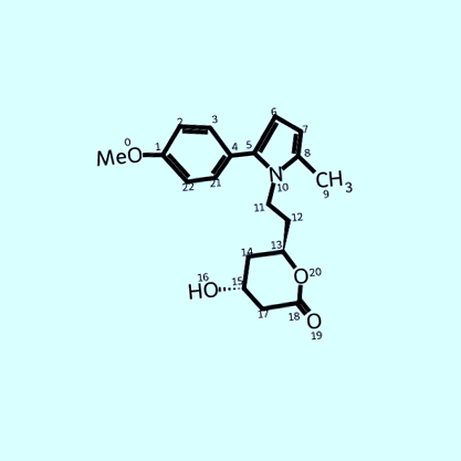 COc1ccc(-c2ccc(C)n2CC[C@@H]2C[C@@H](O)CC(=O)O2)cc1